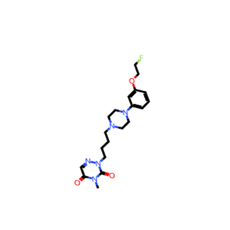 Cn1c(=O)cnn(CCCCN2CCN(c3cccc(OCCF)c3)CC2)c1=O